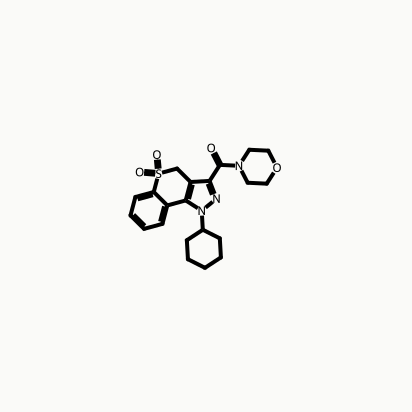 O=C(c1nn(C2CCCCC2)c2c1CS(=O)(=O)c1ccccc1-2)N1CCOCC1